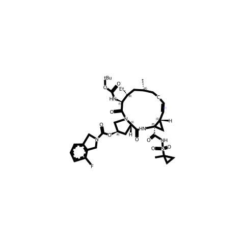 CC[C@@H]1C[C@H](C)CC/C=C\[C@@H]2C[C@@]2(C(=O)NS(=O)(=O)C2(C)CC2)NC(=O)[C@@H]2C[C@@H](OC(=O)N3Cc4cccc(F)c4C3)CN2C(=O)[C@H]1NC(=O)OC(C)(C)C